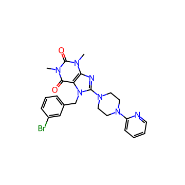 Cn1c(=O)c2c(nc(N3CCN(c4ccccn4)CC3)n2Cc2cccc(Br)c2)n(C)c1=O